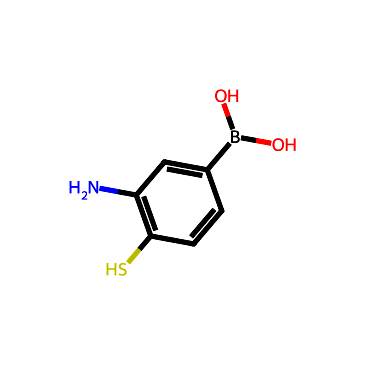 Nc1cc(B(O)O)ccc1S